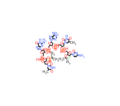 Cc1cn(C2CC(OP(=O)(O)OCC3OC(n4cnc5c(=O)[nH]c(N)nc54)CC3OP(=O)(O)OCC3OC(n4cnc5c(N)ncnc54)CC3OP(=O)(O)OCC3OC(n4cc(C)c(=O)[nH]c4=O)CC3OP(=O)(O)OCC3OC(n4ccc(N)nc4=O)C(F)C3OC(C)C)C(CO[PH](=O)C(C)C)O2)c(=O)[nH]c1=O